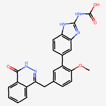 COc1ccc(Cc2n[nH]c(=O)c3ccccc23)cc1-c1ccc2[nH]c(NC(=O)O)nc2c1